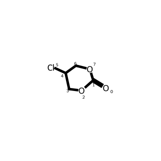 O=C1OCC(Cl)CO1